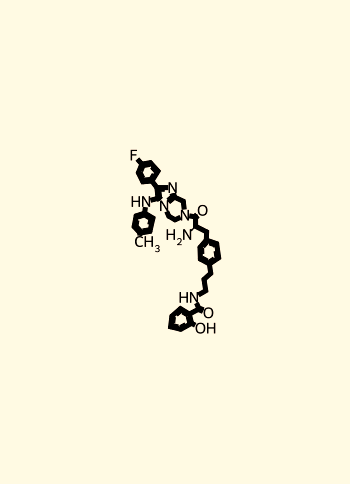 Cc1ccc(Nc2c(-c3ccc(F)cc3)nc3n2CCN(C(=O)[C@@H](N)Cc2ccc(CCCNC(=O)c4ccccc4O)cc2)C3)cc1